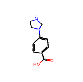 O=C(O)c1ccc(N2CCNC2)cc1